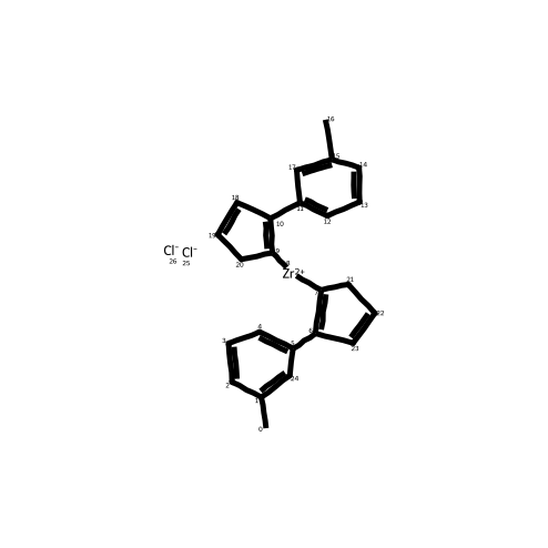 Cc1cccc(C2=[C]([Zr+2][C]3=C(c4cccc(C)c4)C=CC3)CC=C2)c1.[Cl-].[Cl-]